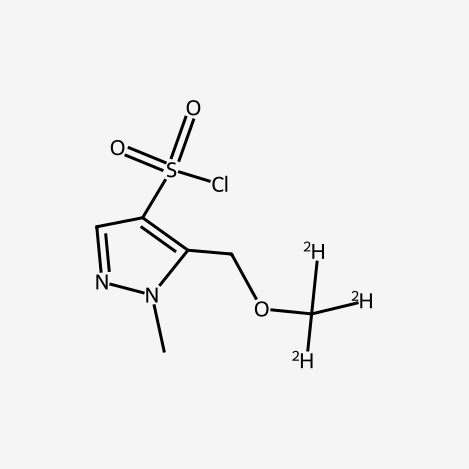 [2H]C([2H])([2H])OCc1c(S(=O)(=O)Cl)cnn1C